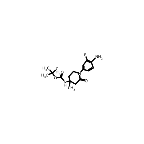 CC1(NC(=O)OC(C)(C)C)CCN(c2ccc(N)c(F)c2)C(=O)C1